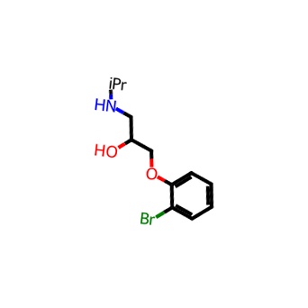 CC(C)NCC(O)COc1ccccc1Br